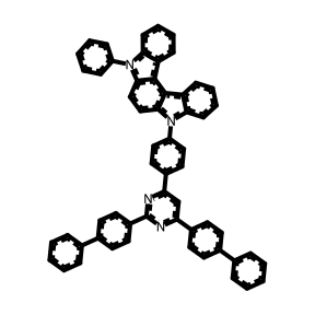 c1ccc(-c2ccc(-c3cc(-c4ccc(-n5c6ccccc6c6c7c8ccccc8n(-c8ccccc8)c7ccc65)cc4)nc(-c4ccc(-c5ccccc5)cc4)n3)cc2)cc1